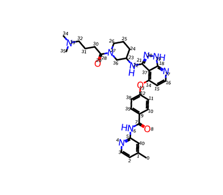 Cc1ccnc(NC(=O)c2ccc(Oc3ccnc4[nH]nc(NC5CCCN(C(=O)CCCN(C)C)C5)c34)cc2)c1